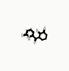 O=C1CCCC(C(=O)c2cccc(=O)[nH]2)C1=O